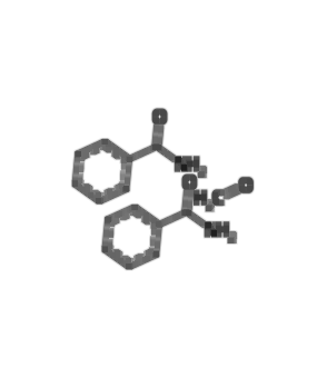 C=O.NC(=O)c1ccccc1.NC(=O)c1ccccc1